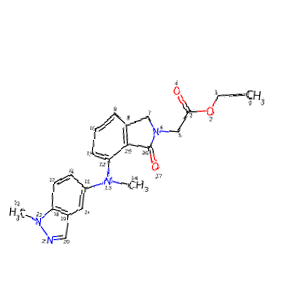 CCOC(=O)CN1Cc2cccc(N(C)c3ccc4c(cnn4C)c3)c2C1=O